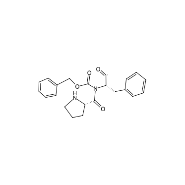 O=[C][C@H](Cc1ccccc1)N(C(=O)OCc1ccccc1)C(=O)[C@@H]1CCCN1